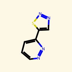 [c]1nnsc1-c1cccnn1